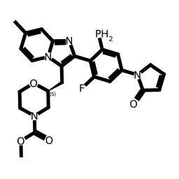 COC(=O)N1CCO[C@@H](Cc2c(-c3c(F)cc(N4CC=CC4=O)cc3P)nc3cc(C)ccn23)C1